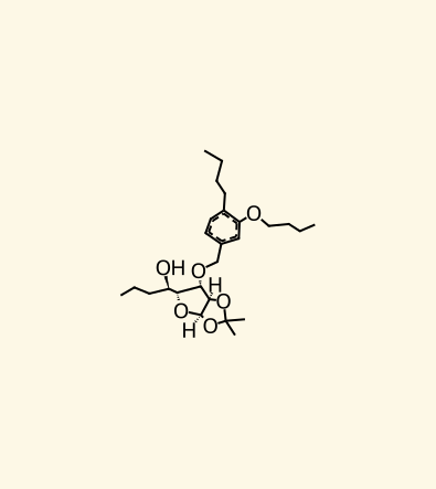 CCCCOc1cc(CO[C@@H]2[C@H]3OC(C)(C)O[C@H]3O[C@@H]2[C@H](O)CCC)ccc1CCCC